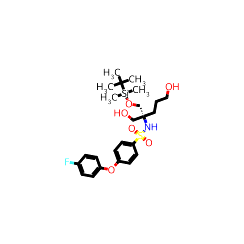 CC(C)(C)[Si](C)(C)OC[C@](CO)(CCCO)NS(=O)(=O)c1ccc(Oc2ccc(F)cc2)cc1